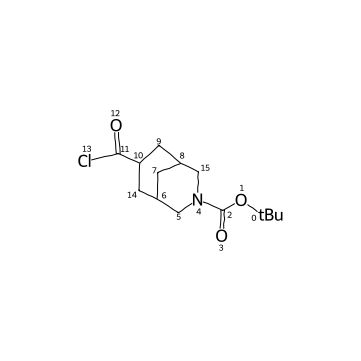 CC(C)(C)OC(=O)N1CC2CC(CC(C(=O)Cl)C2)C1